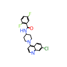 O=C(NC1CCN(c2ccnc3cc(Cl)ccc23)CC1)c1cc(F)ccc1F